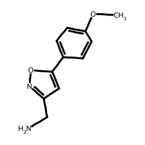 COc1ccc(-c2cc(CN)no2)cc1